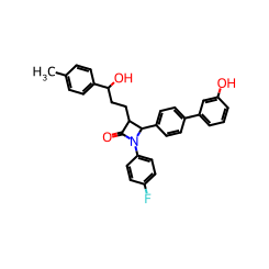 Cc1ccc(C(O)CCC2C(=O)N(c3ccc(F)cc3)C2c2ccc(-c3cccc(O)c3)cc2)cc1